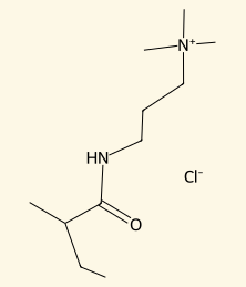 CCC(C)C(=O)NCCC[N+](C)(C)C.[Cl-]